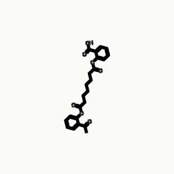 CC(=O)c1ccccc1OC(=O)CCCCCCC(=O)Oc1ccccc1C(=O)O